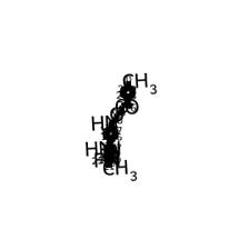 Cc1ccc(C(=O)OCOCNc2ccc(-c3nn4nc(C)c(F)c4[nH]3)cc2)cc1